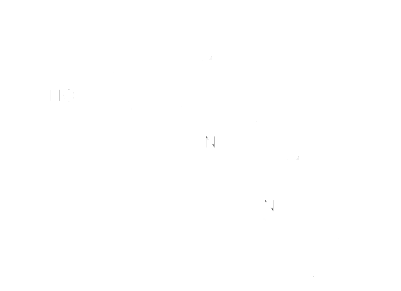 Oc1cccc(N2CC[N+]3(CCCC3)CC2)c1